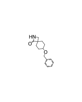 O=C1NCC12CCC(OCc1ccccc1)CC2